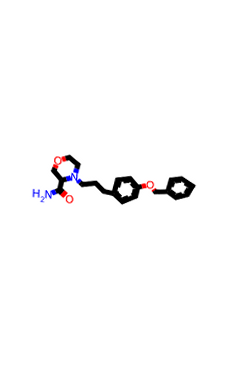 NC(=O)C1COCCN1C[CH]Cc1ccc(OCc2ccccc2)cc1